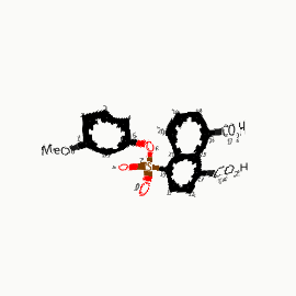 COc1cccc(OS(=O)(=O)c2ccc(C(=O)O)c3c(C(=O)O)cccc23)c1